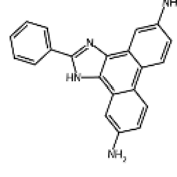 Nc1ccc2c3ccc(N)cc3c3[nH]c(-c4ccccc4)nc3c2c1